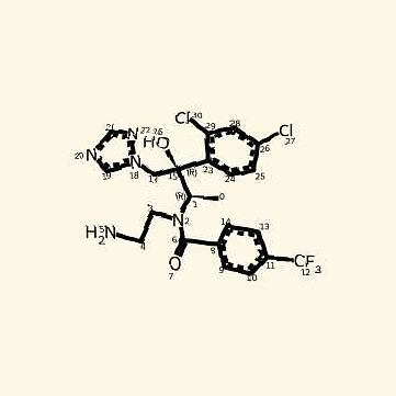 C[C@@H](N(CCN)C(=O)c1ccc(C(F)(F)F)cc1)[C@](O)(Cn1cncn1)c1ccc(Cl)cc1Cl